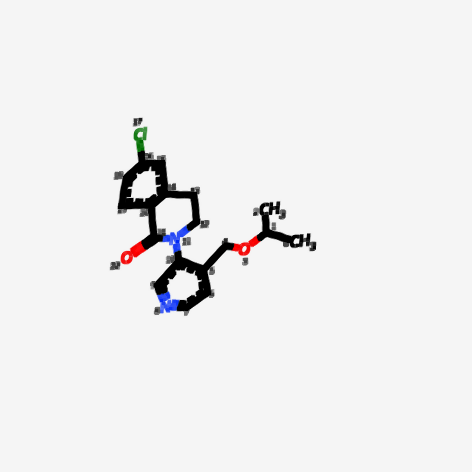 CC(C)OCc1ccncc1N1CCc2cc(Cl)ccc2C1=O